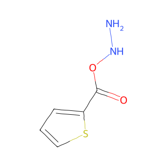 NNOC(=O)c1cccs1